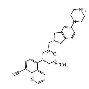 C[C@@H]1CN(c2ccc(C#N)c3nccnc23)C[C@H](CN2Cc3ccc(N4CCNCC4)cc3C2)O1